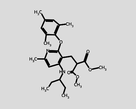 CCC(CC)Nc1cc(C)nc(Oc2c(C)cc(C)cc2C)c1CC(C(=O)OC)C(=O)OC